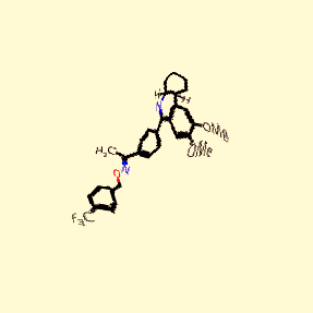 COc1cc2c(cc1OC)[C@H]1CCCC[C@H]1N=C2c1ccc(C(C)=NOCc2ccc(C(F)(F)F)cc2)cc1